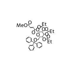 CCC(=O)O[C@H]1[C@@H](OC(=O)CC)[C@@H](COC(c2ccccc2)(c2ccccc2)c2ccccc2)O[C@H](OC(=O)/C=C/C(=O)OC)[C@@H]1OC(=O)CC